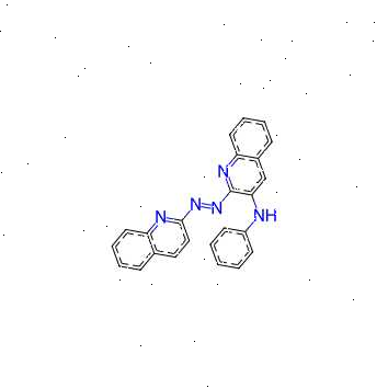 c1ccc(Nc2cc3ccccc3nc2N=Nc2ccc3ccccc3n2)cc1